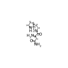 NC(=O)C[C@H](N)C(=O)N1CCC2(C1)NCCS2